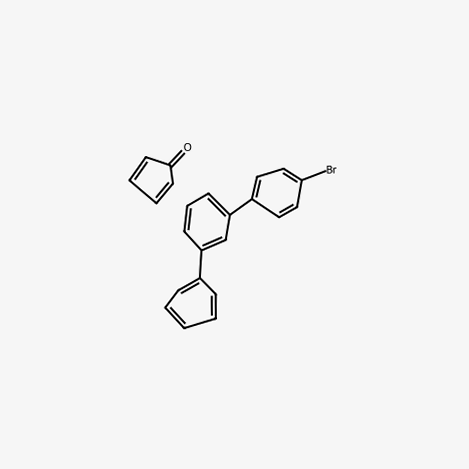 Brc1ccc(-c2cccc(-c3ccccc3)c2)cc1.O=C1C=CC=C1